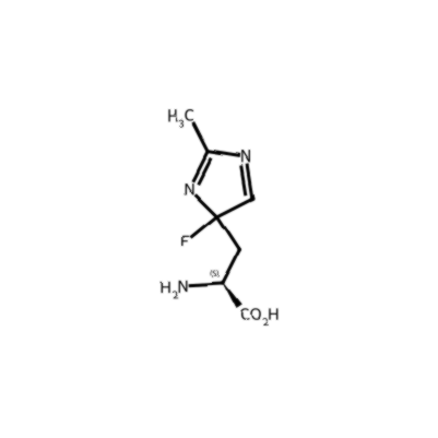 CC1=NC(F)(C[C@H](N)C(=O)O)C=N1